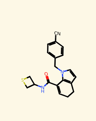 N#Cc1ccc(Cn2ccc3c2C(C(=O)NC2CSC2)=CCC3)cc1